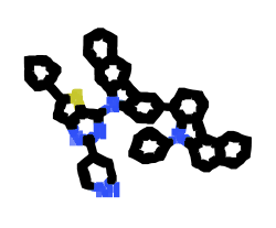 C1=CC(c2nc(-n3c4ccc(-c5cccc6c7c8ccccc8ccc7n(-c7ccccc7)c56)cc4c4cc5ccccc5cc43)c3sc(-c4ccccc4)cc3n2)=CCN1